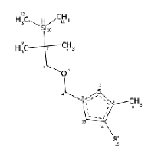 Cc1sc(COCC(C)(C)[SiH](C)C)cc1Br